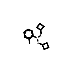 Cc1ccccc1P(OC1CCC1)OC1CCC1